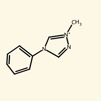 C[n+]1cn(-c2ccccc2)cn1